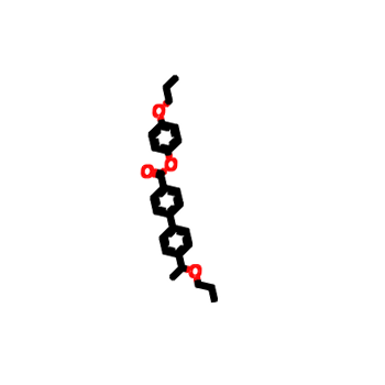 CCCOc1ccc(OC(=O)c2ccc(-c3ccc(C(C)OCCC)cc3)cc2)cc1